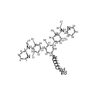 CC=[N+](c1ccccn1)c1c(C)cc(-c2cc(Br)cc(-c3cc(C)c([N+](=CC)c4ccccn4)c(C)c3)c2C)cc1C.[Cl-].[Cl-].[Cl-].[Cl-].[Pd].[Pd]